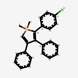 CS1(C)C=C(c2ccccc2)C(c2ccccc2)=C1c1ccc(Br)cc1